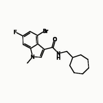 Cn1cc(C(=O)NCC2CCCCCC2)c2c(Br)cc(F)cc21